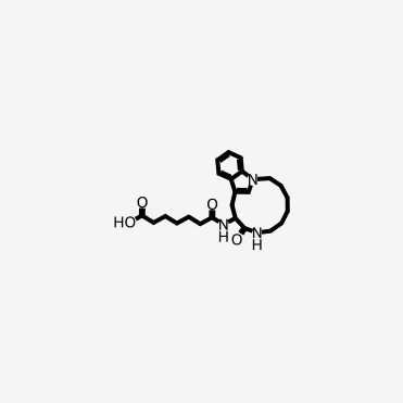 O=C(O)CCCCCC(=O)NC1Cc2cn(c3ccccc23)CCCCCCNC1=O